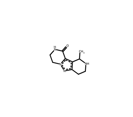 CC1NCCc2nn3c(c21)C(=O)NCC3